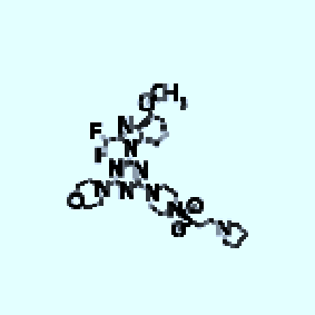 COc1cccc2c1nc(C(F)F)n2-c1nc(N2CCOCC2)nc(N2CCN(S(=O)(=O)CCN3CCCC3)CC2)n1